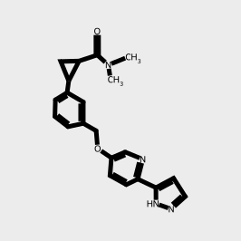 CN(C)C(=O)C1CC1c1cccc(COc2ccc(-c3ccn[nH]3)nc2)c1